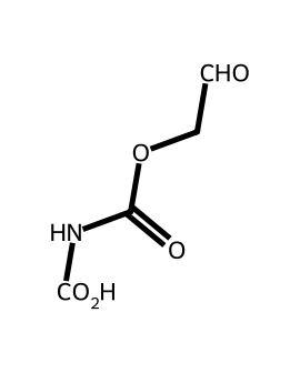 O=CCOC(=O)NC(=O)O